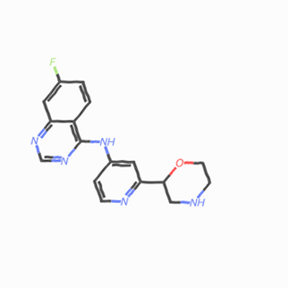 Fc1ccc2c(Nc3ccnc(C4CNCCO4)c3)ncnc2c1